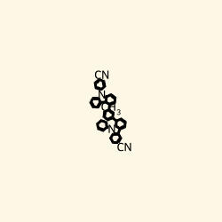 CC12C(c3cccc(C4C=CC=C5C6=C(CCC(C#N)=C6)N(C6C=CCCC6)C54)c3)=CC=CC1N(c1ccc(C#N)cc1)c1ccccc12